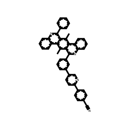 Cc1c2c(-c3cccc(-c4ccc(-c5ccc(C#N)cc5)nc4)c3)nc3ccccc3c2c(C)c2c(-c3ccccc3)nc3ccccc3c12